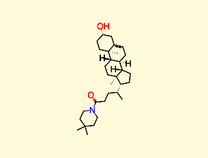 CC(CCC(=O)N1CCC(C)(C)CC1)[C@H]1CC[C@H]2[C@@H]3CC=C4C[C@@H](O)CC[C@]4(C)[C@H]3CC[C@]12C